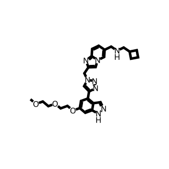 COCCOCCOc1cc(-c2cn(Cc3cn4cc(CNCC5CCC5)ccc4n3)nn2)c2cn[nH]c2c1